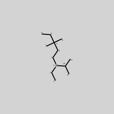 CCN(CCC(C)(C)CC)C(C)C